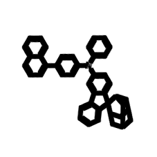 c1ccc(N(c2ccc(-c3cccc4ccccc34)cc2)c2ccc3c(c2)-c2ccccc2C32C3CC4CC(C3)CC2C4)cc1